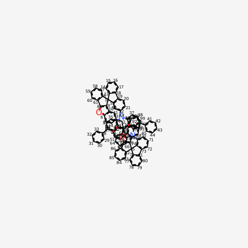 CC1(Cc2ccc3oc4c(c3c2)C2(c3ccccc3-c3ccc(N(c5ccc(-c6ccccc6)cc5)c5ccc(-c6ccccc6)cc5-c5ccccc5)cc32)c2ccccc2-4)c2ccccc2N(c2cccc3c2C2(c4ccccc4-3)c3ccccc3-c3oc4ccccc4c32)c2ccccc21